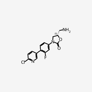 NC[C@H]1CN(c2ccc(-c3ccc(Cl)nc3)c(F)c2)C(=O)O1